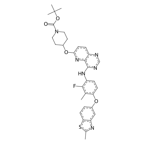 Cc1nc2cc(Oc3ccc(Nc4ncnc5ccc(OC6CCN(C(=O)OC(C)(C)C)CC6)nc45)c(F)c3C)ccc2s1